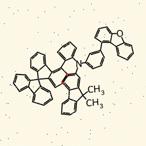 CC1(C)c2ccccc2-c2ccc(N(c3cccc(-c4cccc5oc6ccccc6c45)c3)c3ccccc3-c3cccc4c3-c3ccccc3C43c4ccccc4-c4ccccc43)cc21